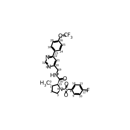 C[C@H]1CCN(S(=O)(=O)c2ccc(F)cc2)[C@@H]1C(=O)NCc1cc(-c2ccc(OC(F)(F)F)cc2)ncn1